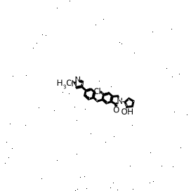 Cn1cc(-c2ccc(Cc3cc4c(cc3Cl)CN([C@@H]3CCC[C@H]3O)C4=O)cc2)cn1